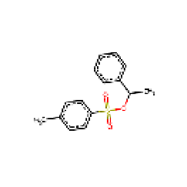 Cc1ccc(S(=O)(=O)OC(C)c2ccccc2)cc1